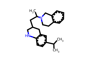 CC(C)c1ccc2c(c1)CC(CC(C)N1CCc3ccccc3C1)CN2